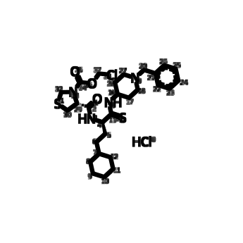 Cl.O=C(N[C@H](CCC1CCCCC1)C(=S)NC1CCN(Cc2ccccc2)CC1)[C@@H]1CSCN1C(=O)OCCl